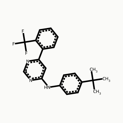 CC(C)(C)c1ccc(Nc2cc(-c3ccccc3C(F)(F)F)ncn2)cc1